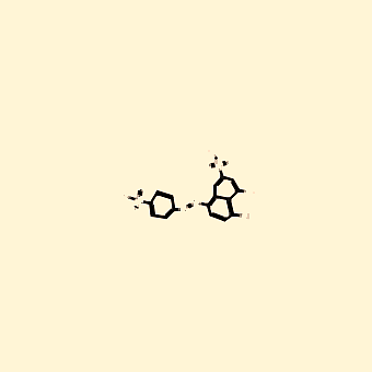 Nc1ccc(N=Nc2ccc(S(N)(=O)=O)cc2)c2cc(S(=O)(=O)O)cc(O)c12